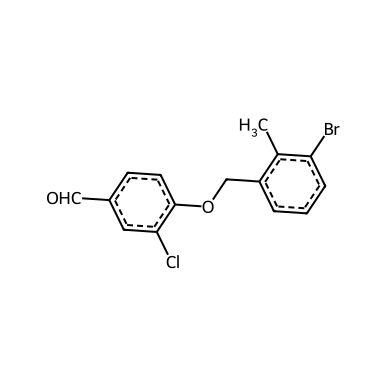 Cc1c(Br)cccc1COc1ccc(C=O)cc1Cl